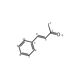 O=C(I)C=Cc1ccccc1